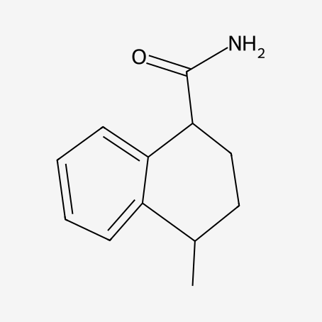 CC1CCC(C(N)=O)c2ccccc21